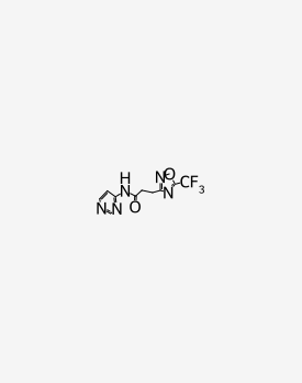 O=C(CCc1noc(C(F)(F)F)n1)Nc1ccncn1